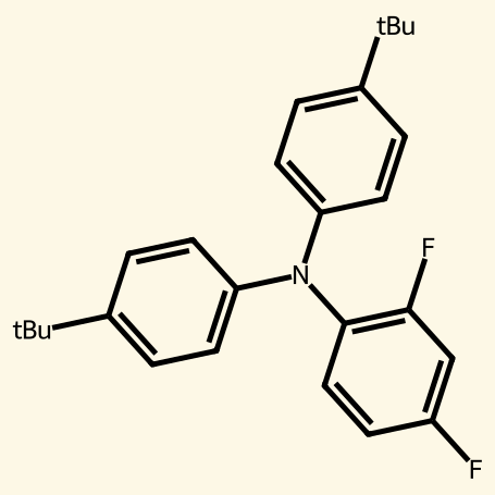 CC(C)(C)c1ccc(N(c2ccc(C(C)(C)C)cc2)c2ccc(F)cc2F)cc1